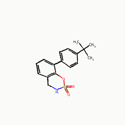 CC(C)(C)c1ccc(-c2cccc3c2OS(=O)(=O)NC3)cc1